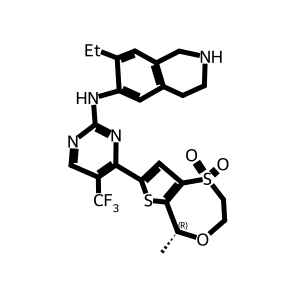 CCc1cc2c(cc1Nc1ncc(C(F)(F)F)c(-c3cc4c(s3)[C@@H](C)OCCS4(=O)=O)n1)CCNC2